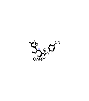 C=C/C(=C\C(=C(/C)OC)S(=O)(=O)Nc1ccc(C#N)cc1)c1cc(C)no1